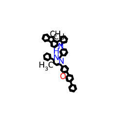 CC1C=C(c2ccc3c(c2)oc2cc(-c4ccccc4)ccc23)N=C(c2cccc(-n3c4ccccc4c4c5c(ccc43)-c3ccccc3C5(C)C)c2)NC1C1=CCCC=C1